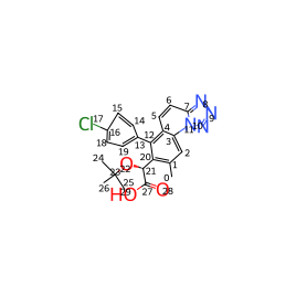 Cc1cc2c(ccc3nnnn32)c(-c2ccc(Cl)cc2)c1[C@H](OC(C)(C)C)C(=O)O